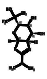 CN(C)C1=N[C@@H]2[C@@H](O)[C@H](O)[C@@H](C(O)(C(F)(F)F)C(F)(F)F)O[C@@H]2S1